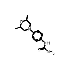 CC1CN(c2ccc(NC(N)=S)cc2)CC(C)O1